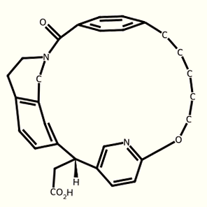 O=C(O)C[C@H]1c2ccc(nc2)OCCCCCc2ccc(cc2)C(=O)N2CCc3ccc1cc3C2